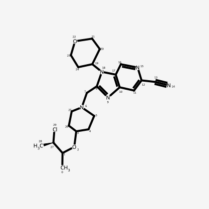 CC(OC1CCN(Cc2nc3cc(C#N)ncc3n2C2CCOCC2)CC1)[C@@H](C)Cl